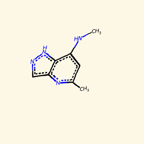 CNc1cc(C)nc2cn[nH]c12